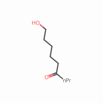 CCCC(=O)CCCCCO